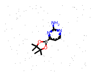 CC1(C)OB(c2ccnc(N)n2)OC1(C)C